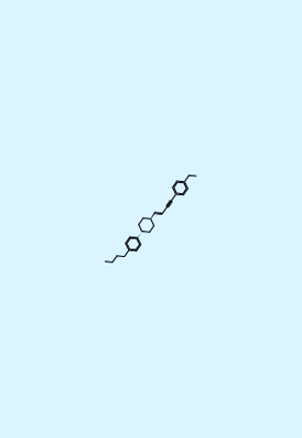 CCCCc1ccc([C@H]2CC[C@H](C=CC#Cc3ccc(CC)cc3)CC2)cc1